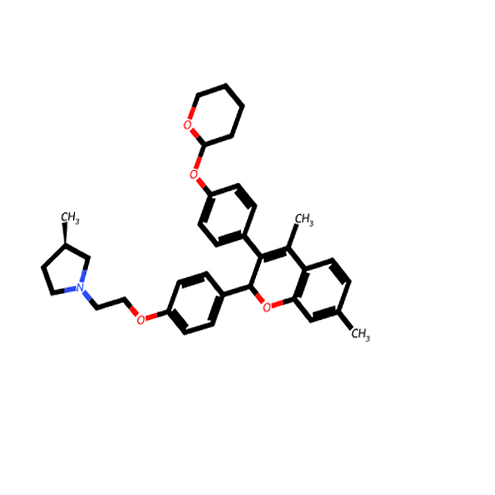 CC1=C(c2ccc(OC3CCCCO3)cc2)C(c2ccc(OCCN3CC[C@@H](C)C3)cc2)Oc2cc(C)ccc21